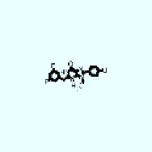 CCn1c(-c2ccc(Cl)cc2)nc2c(=O)[nH]c(Cc3cc(F)cc(F)c3)nc21